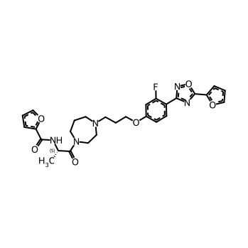 C[C@H](NC(=O)c1ccco1)C(=O)N1CCCN(CCCOc2ccc(-c3noc(-c4ccco4)n3)c(F)c2)CC1